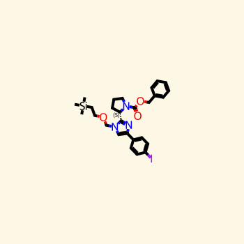 C[Si](C)(C)CCOCn1cc(-c2ccc(I)cc2)nc1[C@@H]1CCCN1C(=O)OCc1ccccc1